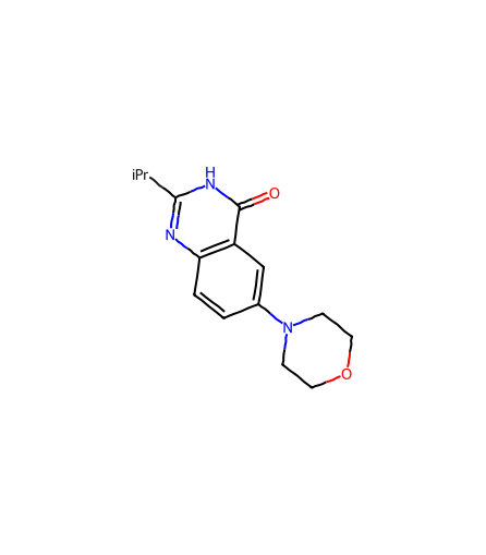 CC(C)c1nc2ccc(N3CCOCC3)cc2c(=O)[nH]1